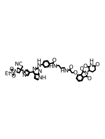 CCS(=O)(=O)N1CC(CC#N)(n2cc(-c3nc(Nc4ccc(C(=O)NCCCNC(=O)COc5cccc6c5C(=O)N(C5CCC(=O)NC5=O)C6=O)cc4)nc4[nH]ccc34)cn2)C1